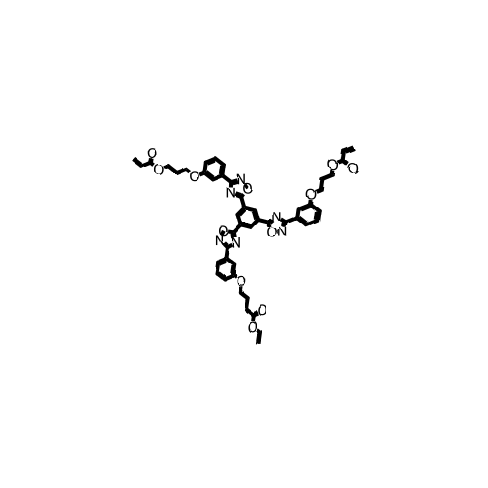 C=COC(=O)CCCOc1cccc(-c2noc(-c3cc(-c4nc(-c5cccc(OCCCOC(=O)C=C)c5)no4)cc(-c4nc(-c5cccc(OCCCOC(=O)C=C)c5)no4)c3)n2)c1